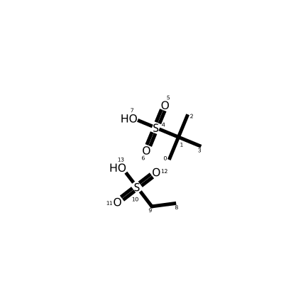 CC(C)(C)S(=O)(=O)O.CCS(=O)(=O)O